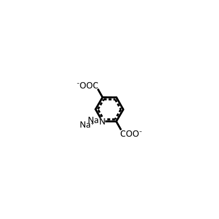 O=C([O-])c1ccc(C(=O)[O-])nc1.[Na+].[Na+]